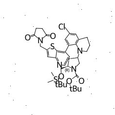 CC(C)(C)OC(=O)N1CC(N2CCCc3cc(Cl)cc(-c4ccnc5cc(CN6C(=O)CCC6=O)sc45)c32)C[C@@H]1CO[Si](C)(C)C(C)(C)C